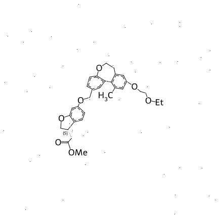 CCOCCOc1cc(C)c2c(c1)CCOc1ccc(COc3ccc4c(c3)OC[C@H]4CC(=O)OC)cc1-2